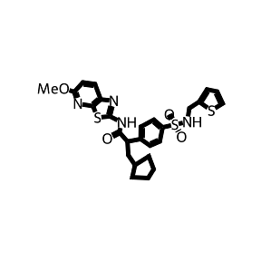 COc1ccc2nc(NC(=O)C(CC3CCCC3)c3ccc(S(=O)(=O)NCc4cccs4)cc3)sc2n1